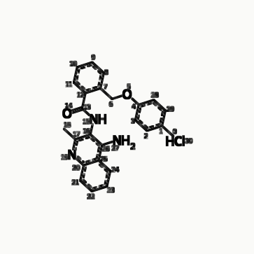 Cc1ccc(OCc2ccccc2C(=O)Nc2c(C)nc3ccccc3c2N)cc1.Cl